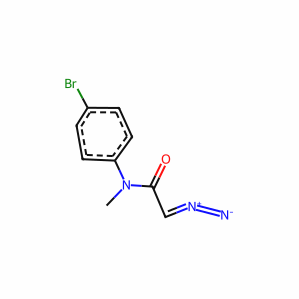 CN(C(=O)C=[N+]=[N-])c1ccc(Br)cc1